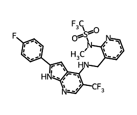 CN(c1ncccc1CNc1c(C(F)(F)F)cnc2[nH]c(-c3ccc(F)cc3)cc12)S(=O)(=O)C(F)(F)F